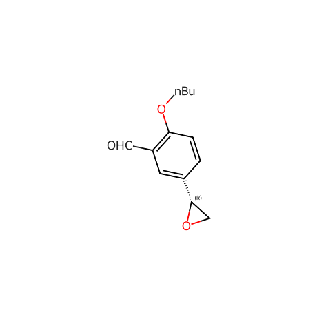 CCCCOc1ccc([C@@H]2CO2)cc1C=O